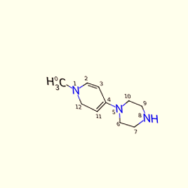 CN1C=CC(N2CCNCC2)=CC1